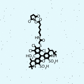 CC1CC(C)(C)Nc2c1cc1c(c2S(=O)(=O)O)Oc2c(S(=O)(=O)O)c3c(cc2=C1c1c(Cl)c(SCC(=O)NCCCCCC(=O)ON2C(=O)CCC2=O)c(Cl)c(Cl)c1C(=O)O)C(C)CC(C)(C)N=3